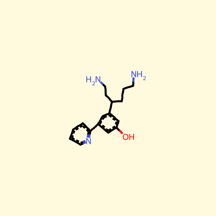 NCCCC(CCN)c1cc(O)cc(-c2ccccn2)c1